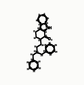 O=C1c2[nH]c3ccccc3c2CCC1CCN(Cc1ccccc1)Cc1ccccc1